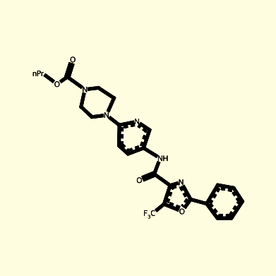 CCCOC(=O)N1CCN(c2ccc(NC(=O)c3nc(-c4ccccc4)oc3C(F)(F)F)cn2)CC1